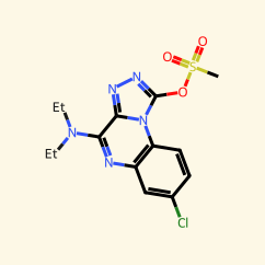 CCN(CC)c1nc2cc(Cl)ccc2n2c(OS(C)(=O)=O)nnc12